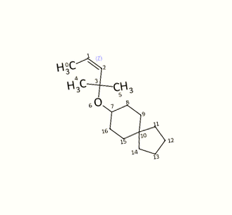 C/C=C\C(C)(C)OC1CCC2(CCCC2)CC1